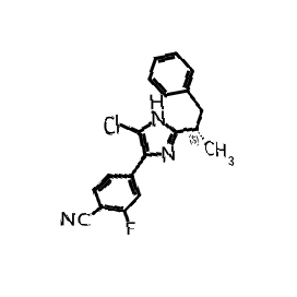 C[C@@H](Cc1ccccc1)c1nc(-c2ccc(C#N)c(F)c2)c(Cl)[nH]1